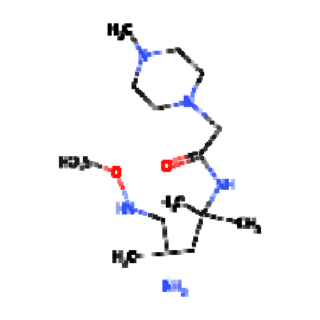 CN1CCN(CC(=O)NC(C)(C)CC(C)(N)CNOS(=O)(=O)O)CC1